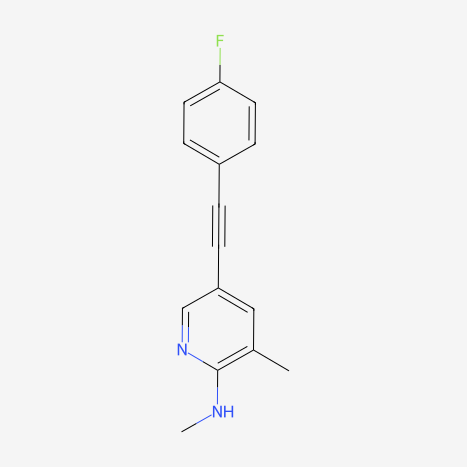 CNc1ncc(C#Cc2ccc(F)cc2)cc1C